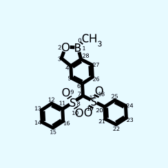 CB1OCc2cc(C(S(=O)(=O)c3ccccc3)S(=O)(=O)c3ccccc3)ccc21